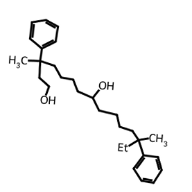 CCC(C)(CCCCC(O)CCCCC(C)(CCO)c1ccccc1)c1ccccc1